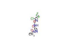 CCCC(=O)Nc1cc(C(=O)NCCOc2ncc(C(F)(F)CF)cc2Cl)ccn1